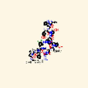 CCCC[C@@H](C(=O)N1CCC[C@@H]1C(=O)N[C@H](C=O)CC(=O)O)N(C)C(=O)[C@H](Cc1ccccc1)N(C)C(=O)[C@H](Cc1cc(F)c(F)c2c1C2)NC(=O)CSC[C@H](NC(=O)[C@H](CCOC)NC(=O)[C@H](Cc1ccc(O)cc1)NC1OC1[C@H](Cc1c[nH]c2ccccc12)NC(=O)[C@H]1C[C@@H](O)CN1C1OC1[C@H](Cc1ccc(O)cc1)NCC(=O)C(Cc1ccccc1)N(C)C(=O)[C@@H](N)C(C)C)C(=O)NCC(N)=O